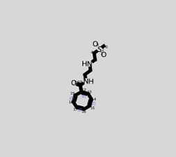 CS(=O)(=O)CCNCCNC(=O)C1=C/C=C\C=C/C=C\1